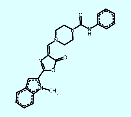 Cn1c(C2=N/C(=C/N3CCN(C(=O)Nc4ccccc4)CC3)C(=O)O2)cc2ccccc21